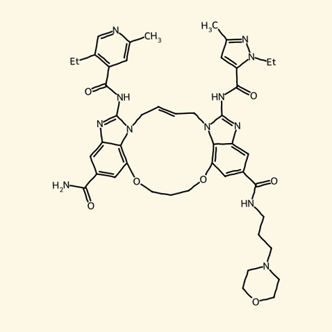 CCc1cnc(C)cc1C(=O)Nc1nc2cc(C(N)=O)cc3c2n1C/C=C/Cn1c(NC(=O)c2cc(C)nn2CC)nc2cc(C(=O)NCCCN4CCOCC4)cc(c21)OCCCO3